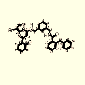 O=C(NCc1cccc(CNc2cc(-c3ccccc3Cl)nc3c(Br)cnn23)c1)c1ccccc1Cc1ccccc1